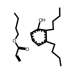 C=CC(=O)OCCCC.CCCCc1cccc(O)c1CCCC